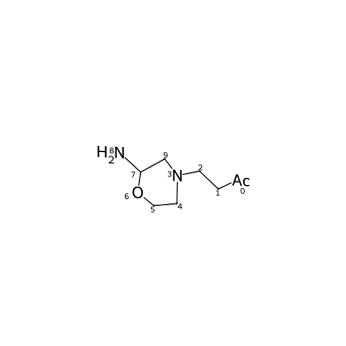 CC(=O)CCN1CCOC(N)C1